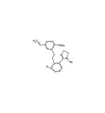 C=Cc1ccc(OC)c(CCc2c(F)cccc2C2=NCCN2C(C)C)c1